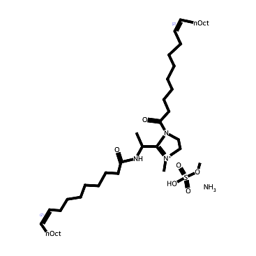 CCCCCCCC/C=C\CCCCCCCC(=O)NC(C)C1=[N+](C)CCN1C(=O)CCCCCCC/C=C\CCCCCCCC.COS(=O)(=O)O.N